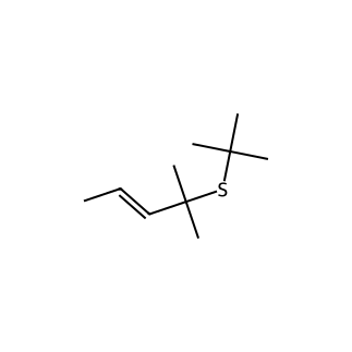 CC=CC(C)(C)SC(C)(C)C